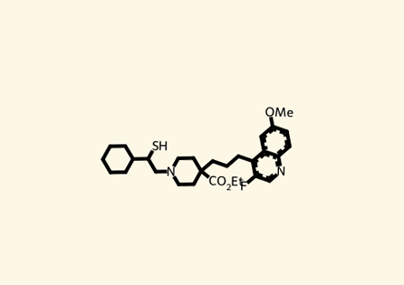 CCOC(=O)C1(CCCc2c(F)cnc3ccc(OC)cc23)CCN(CC(S)C2CCCCC2)CC1